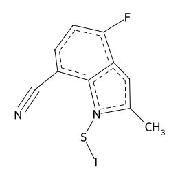 Cc1cc2c(F)ccc(C#N)c2n1SI